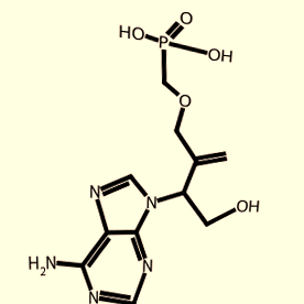 C=C(COCP(=O)(O)O)C(CO)n1cnc2c(N)ncnc21